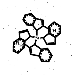 CC1=Cc2ccccc2[CH]1[Sn]([CH]1C=Cc2ccccc21)([CH]1C=Cc2ccccc21)[CH]1C(C)=Cc2ccccc21